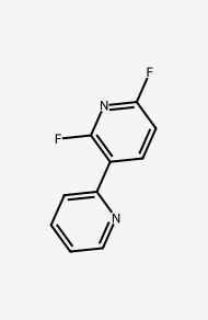 Fc1ccc(-c2ccccn2)c(F)n1